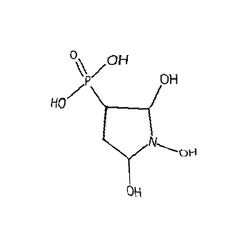 O=P(O)(O)C1CC(O)N(O)C1O